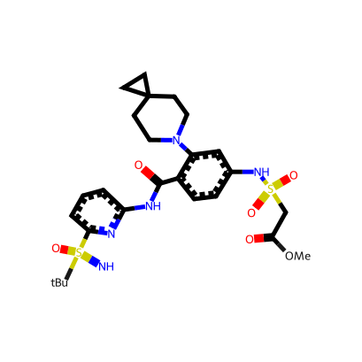 COC(=O)CS(=O)(=O)Nc1ccc(C(=O)Nc2cccc(S(=N)(=O)C(C)(C)C)n2)c(N2CCC3(CC2)CC3)c1